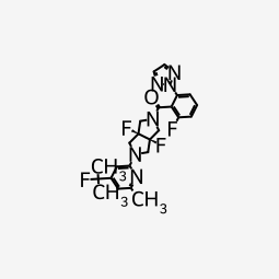 Cc1cc(C(C)(C)F)cc(N2C[C@]3(F)CN(C(=O)c4c(F)cccc4-n4nccn4)C[C@]3(F)C2)n1